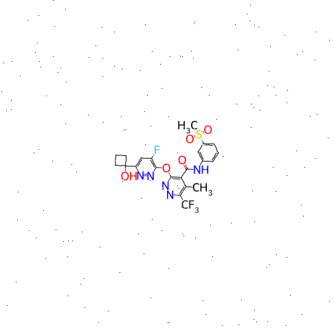 Cc1c(C(F)(F)F)nnc(Oc2nnc(C3(O)CCC3)cc2F)c1C(=O)Nc1cccc(S(C)(=O)=O)c1